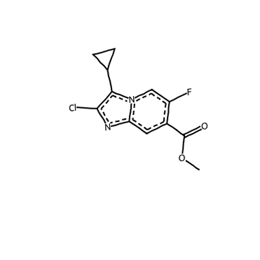 COC(=O)c1cc2nc(Cl)c(C3CC3)n2cc1F